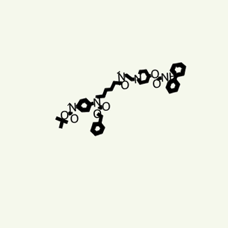 CN(CCN1CCC(OC(=O)Nc2ccccc2-c2ccccc2)CC1)C(=O)CCCCCN(C(=O)OCc1ccccc1)c1ccc(N(C)C(=O)OC(C)(C)C)cc1